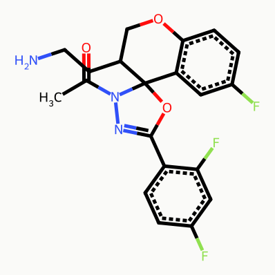 CC(=O)N1N=C(c2ccc(F)cc2F)OC12c1cc(F)ccc1OCC2CCN